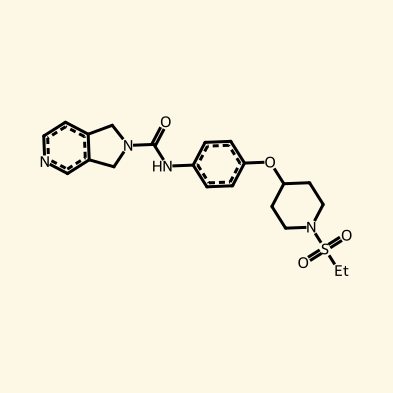 CCS(=O)(=O)N1CCC(Oc2ccc(NC(=O)N3Cc4ccncc4C3)cc2)CC1